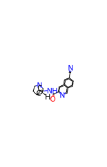 N#Cc1ccc2cnc(C(=O)N[C@@H]3CC4CCN(CC4)C3)cc2c1